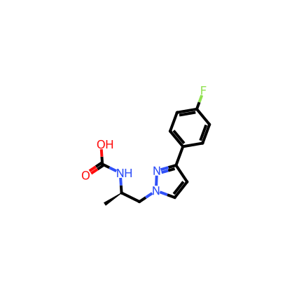 C[C@H](Cn1ccc(-c2ccc(F)cc2)n1)NC(=O)O